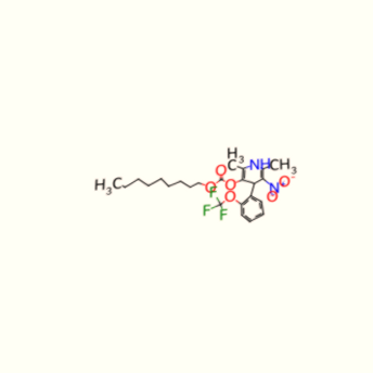 CCCCCCCCCOC(=O)OC1=C(C)NC(C)=C([N+](=O)[O-])C1c1ccccc1OC(F)(F)F